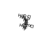 C[C@H](NC(=O)O)c1nc(Cn2nc(-c3ccc(Cl)cc3)n(C[C@H](O)C(F)(F)F)c2=O)nn1-c1cccc(Cl)c1